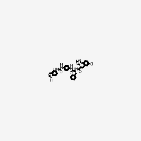 O=C(/C=C/c1cc(Cl)ccc1-n1cnnn1)N[C@@H](Cc1ccccc1)C(=O)Nc1ccc(NC(=O)Nc2ccc3[nH]ncc3c2)cc1